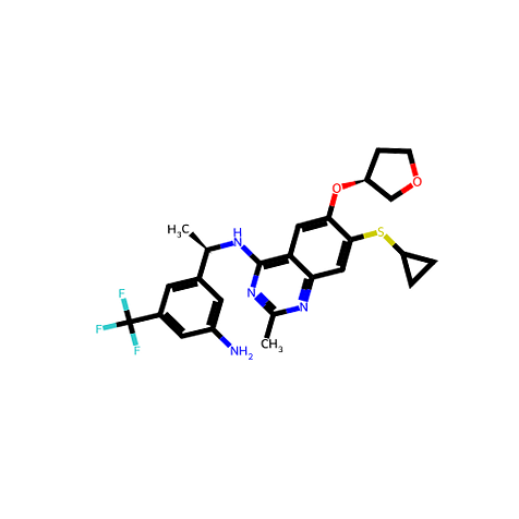 Cc1nc(N[C@H](C)c2cc(N)cc(C(F)(F)F)c2)c2cc(O[C@H]3CCOC3)c(SC3CC3)cc2n1